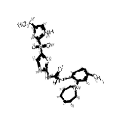 Cc1ccc(NC(=O)Nc2ncc(S(=O)(=O)c3nc(C(=O)O)c[nH]3)s2)c(N2CCCCC2)c1